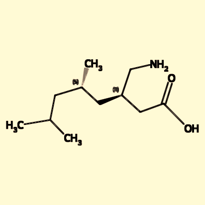 CC(C)C[C@H](C)C[C@@H](CN)CC(=O)O